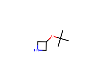 CC(C)(C)OC1CNC1